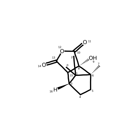 CC1(C)[C@@H]2CC[C@]1(C)[C@]1(O)C(=O)OC(=O)C21